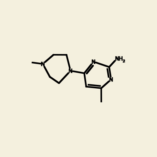 Cc1cc(N2CCN(C)CC2)nc(N)n1